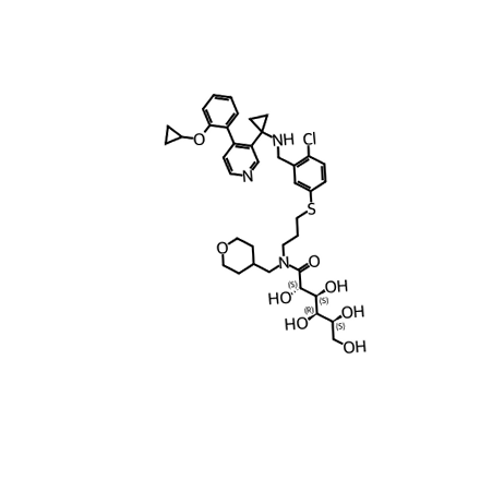 O=C([C@@H](O)[C@@H](O)[C@H](O)[C@@H](O)CO)N(CCCSc1ccc(Cl)c(CNC2(c3cnccc3-c3ccccc3OC3CC3)CC2)c1)CC1CCOCC1